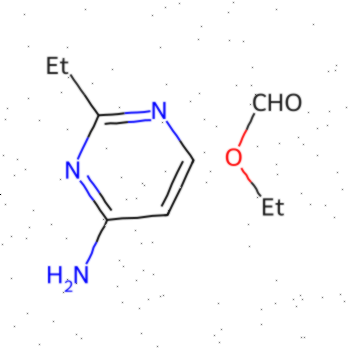 CCOC=O.CCc1nccc(N)n1